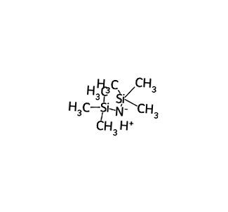 C[Si](C)(C)[N-][Si](C)(C)C.[H+]